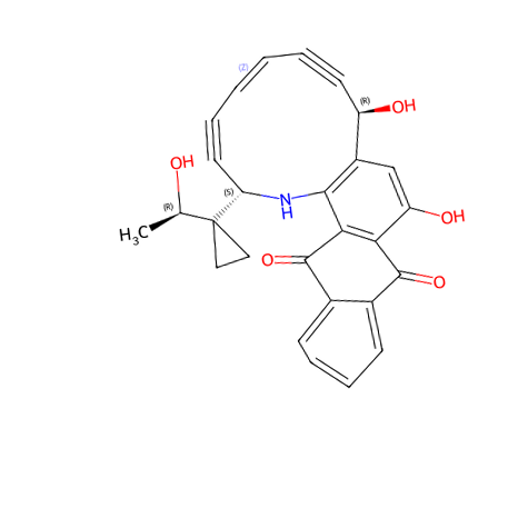 C[C@@H](O)C1([C@@H]2C#C/C=C\C#C[C@@H](O)c3cc(O)c4c(c3N2)C(=O)c2ccccc2C4=O)CC1